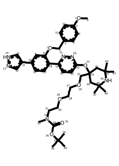 COc1ccc(COc2cc(-c3cn[nH]c3)ccc2-c2ccc(OC3(COCCOCCN(C)C(=O)OC(C)(C)C)CC(C)(C)NC(C)(C)C3)nn2)cc1